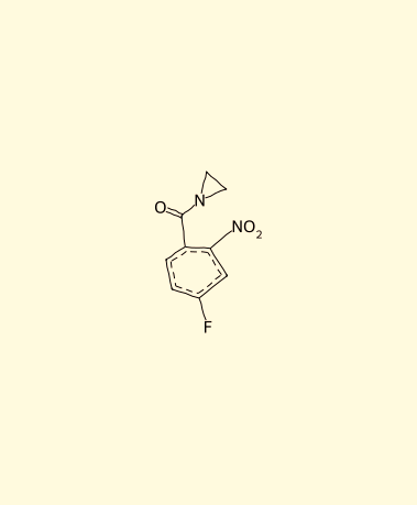 O=C(c1ccc(F)cc1[N+](=O)[O-])N1CC1